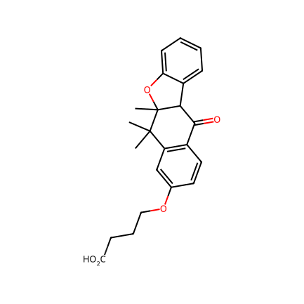 CC1(C)c2cc(OCCCC(=O)O)ccc2C(=O)C2c3ccccc3OC21C